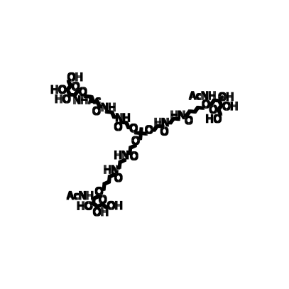 CC(=O)NC1C(OCCCCC(=O)NCCCNC(=O)CCOCC(C)(COCCC(=O)NCCCNC(=O)CCCCOC2OC(CO)C(O)C(O)C2NC(C)=O)COCCC(=O)NCCCNC(=O)CCCCOC2OC(CO)C(O)[C@H](O)C2NC(C)=O)OC(CO)C(O)C1O